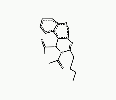 CCCCC1=Nc2cnc3ccccc3c2N(C(C)=O)N1C(C)=O